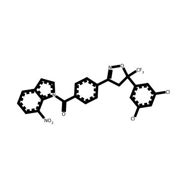 O=C(c1ccc(C2=NOC(c3cc(Cl)cc(Cl)c3)(C(F)(F)F)C2)cc1)n1ccc2cccc([N+](=O)[O-])c21